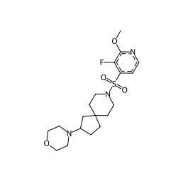 COc1nccc(S(=O)(=O)N2CCC3(CCC(N4CCOCC4)C3)CC2)c1F